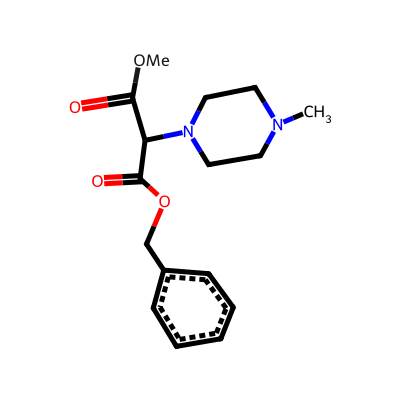 COC(=O)C(C(=O)OCc1ccccc1)N1CCN(C)CC1